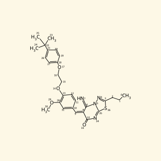 CCCC1=NN2C(=N)C(=Cc3ccc(OCCOc4ccc(C(C)(C)C)cc4)c(OC)c3)C(=O)N=C2S1